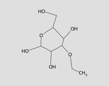 CCOC1C(O)C(O)OC(CO)C1O